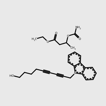 CCOC(=O)CC(C)OC(N)=O.OCCCCC#CC#CCn1c2ccccc2c2ccccc21